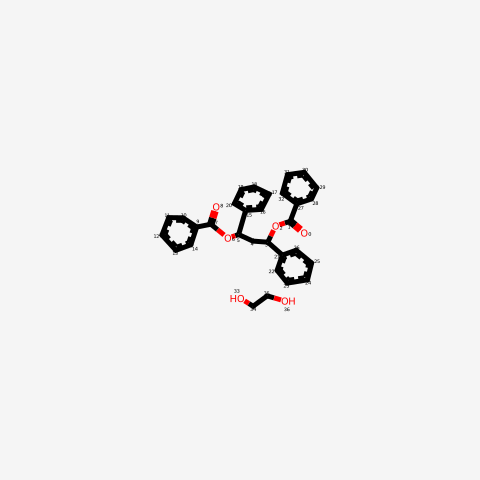 O=C(OC(CC(OC(=O)c1ccccc1)c1ccccc1)c1ccccc1)c1ccccc1.OCCO